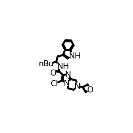 CCCCC(Cc1c[nH]c2ccccc12)NC(=O)c1nc2n(c1Cl)CCN(C1COC1)C2